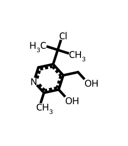 Cc1ncc(C(C)(C)Cl)c(CO)c1O